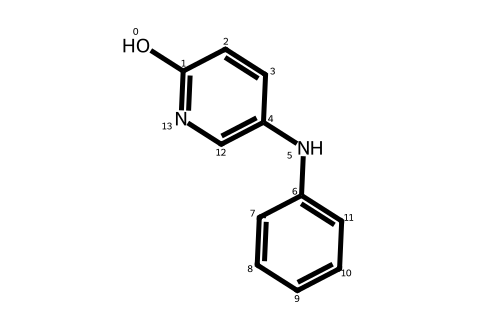 Oc1ccc(Nc2[c]cccc2)cn1